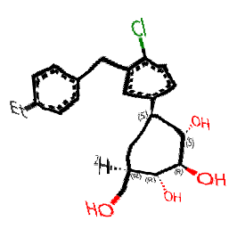 [2H][C@]1(CO)C[C@@H](c2ccc(Cl)c(Cc3ccc(CC)cc3)c2)[C@H](O)[C@@H](O)[C@@H]1O